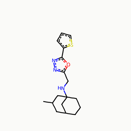 CC1CC2CCCC(NCc3nnc(-c4cccs4)o3)(C1)C2